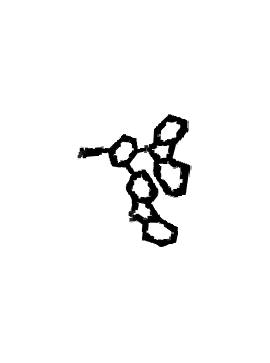 N#Cc1ccc(-n2c3ccccc3c3ccccc32)c(-c2ccc3c(c2)sc2ccccc23)c1